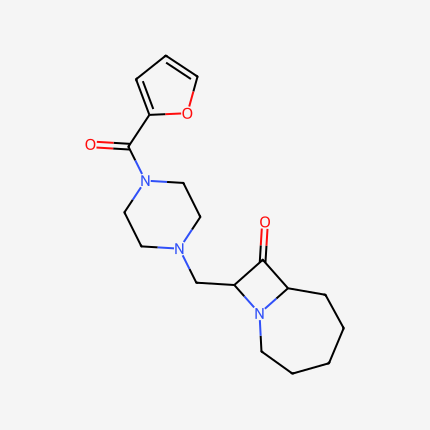 O=C1C2CCCCCN2C1CN1CCN(C(=O)c2ccco2)CC1